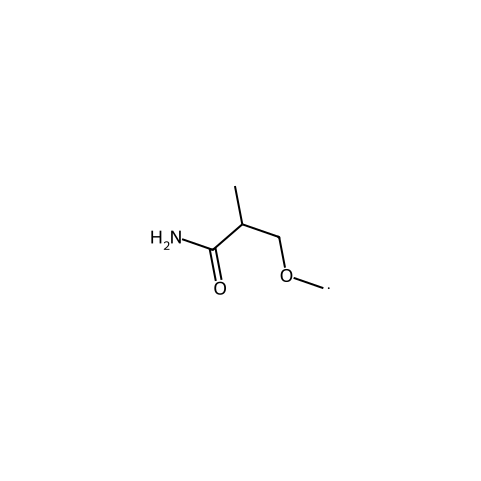 [CH2]OCC(C)C(N)=O